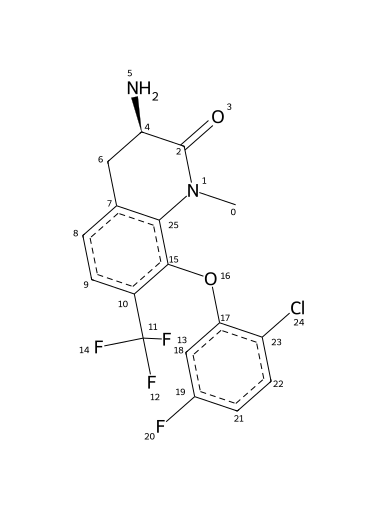 CN1C(=O)[C@H](N)Cc2ccc(C(F)(F)F)c(Oc3cc(F)ccc3Cl)c21